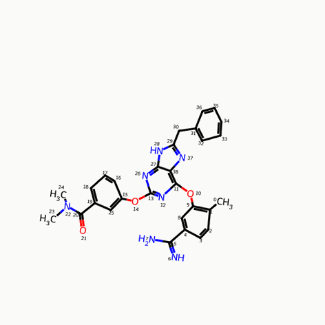 Cc1ccc(C(=N)N)cc1Oc1nc(Oc2cccc(C(=O)N(C)C)c2)nc2[nH]c(Cc3ccccc3)nc12